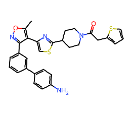 Cc1onc(-c2cccc(-c3ccc(N)cc3)c2)c1-c1csc(C2CCN(C(=O)Cc3cccs3)CC2)n1